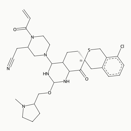 C=CC(=O)N1CCN(C2NC(OCC3CCCN3C)NC3C(=O)[C@]4(CCC32)Cc2cccc(Cl)c2CS4)CC1CC#N